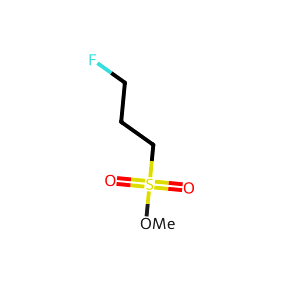 [CH2]OS(=O)(=O)CCCF